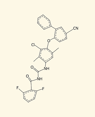 Cc1cc(NC(=O)NC(=O)c2c(F)cccc2F)c(C)c(Cl)c1Oc1ccc(C#N)cc1-c1ccccc1